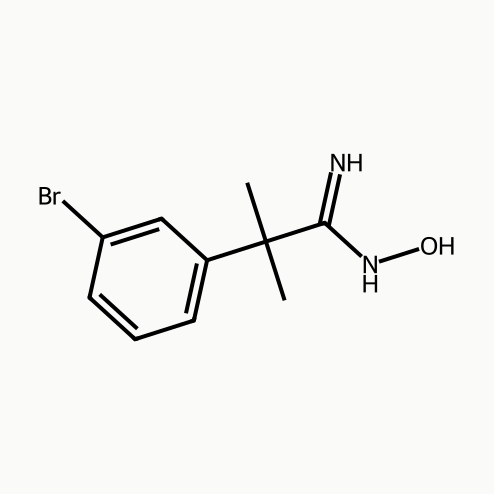 CC(C)(C(=N)NO)c1cccc(Br)c1